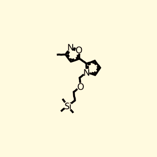 Cc1cc(-c2cccn2COCC[Si](C)(C)C)on1